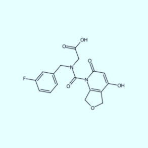 O=C(O)CN(Cc1cccc(F)c1)C(=O)n1c2c(c(O)cc1=O)COC2